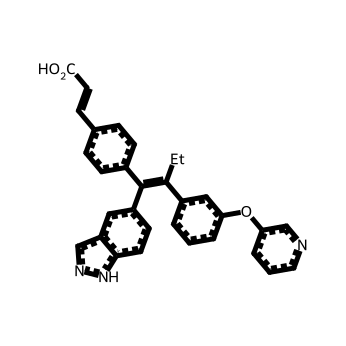 CCC(=C(c1ccc(C=CC(=O)O)cc1)c1ccc2[nH]ncc2c1)c1cccc(Oc2cccnc2)c1